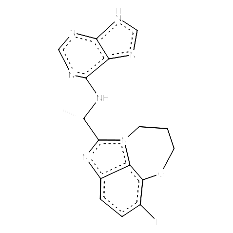 C[C@H](Nc1ncnc2[nH]cnc12)c1nc2ccc(F)c3c2n1CCCO3